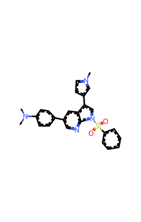 CN(C)c1ccc(-c2cnc3c(c2)c(-c2ccn(C)c2)cn3S(=O)(=O)c2ccccc2)cc1